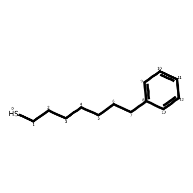 SCCCCCCCc1ccccc1